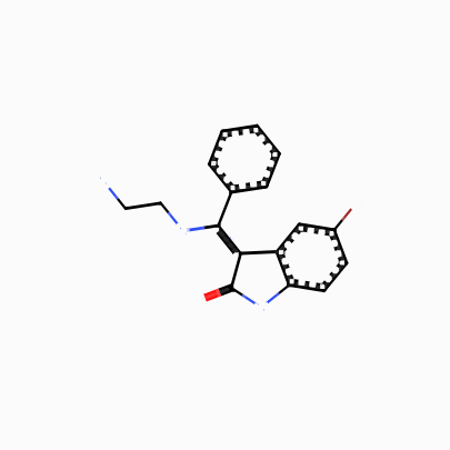 NCCN/C(=C1\C(=O)Nc2ccc(Br)cc21)c1ccccc1